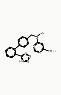 CCCCN(Cc1ccc(-c2ccccc2-c2nnn[nH]2)cc1)c1cc(C(=O)O)ncn1